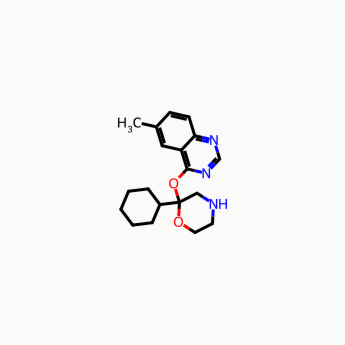 Cc1ccc2ncnc(OC3(C4CCCCC4)CNCCO3)c2c1